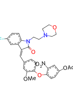 COc1cc(C=C2C(=O)N(CCN3CCOCC3)c3ccc(F)cc32)ccc1Oc1ccc(OC(C)=O)cc1[N+](=O)[O-]